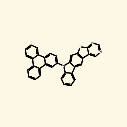 c1ccc2c(c1)c1ccccc1c1cc(-n3c4ccccc4c4cc5c(cc43)sc3ncncc35)ccc21